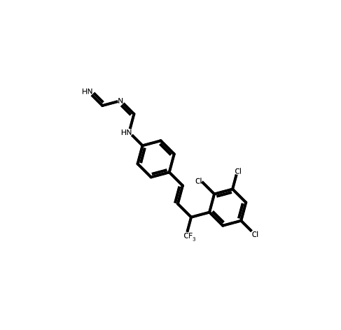 N=C/N=C\Nc1ccc(/C=C/C(c2cc(Cl)cc(Cl)c2Cl)C(F)(F)F)cc1